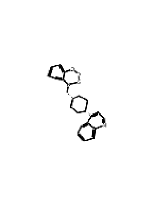 c1ccc2c(c1)nccc2[C@H]1CC[C@@H](Cn2sooc3ccccc32)CC1